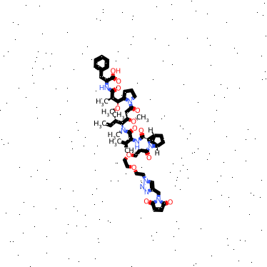 CC[C@H](C)[C@@H]([C@@H](CC(=O)N1CCCC1[C@H](OC)[C@@H](C)C(=O)NC(Cc1ccccc1)C(=O)O)OC)N(C)C(=O)C(NC(=O)[C@@H]1[C@H]2CC[C@H](C2)N1C(=O)CCOCCOCCn1cc(CN2C(=O)C=CC2=O)nn1)C(C)C